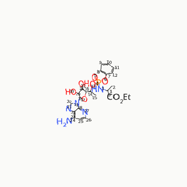 CCOC(=O)C(C)NP(=O)(Oc1ccccc1)OC(C)[C@H]1O[C@@H](n2cnc3c(N)ccnc32)C(O)C1O